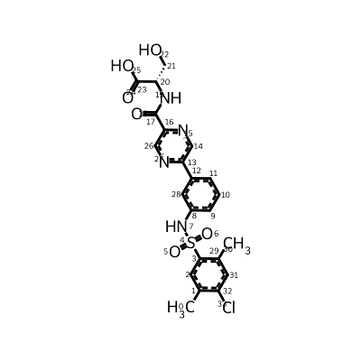 Cc1cc(S(=O)(=O)Nc2cccc(-c3cnc(C(=O)N[C@@H](CO)C(=O)O)cn3)c2)c(C)cc1Cl